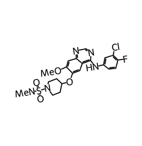 CNS(=O)(=O)N1CCC(Oc2cc3c(Nc4ccc(F)c(Cl)c4)ncnc3cc2OC)CC1